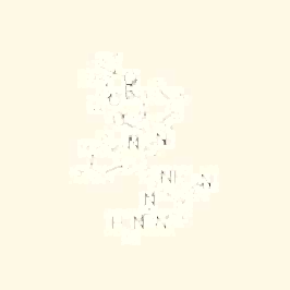 CC(Nc1nc(N)ncc1C#N)c1nc2cccc(B3OC(C)(C)C(C)(C)O3)c2c(=O)n1-c1ccccc1